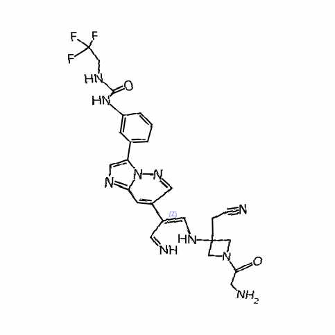 N#CCC1(N/C=C(\C=N)c2cnn3c(-c4cccc(NC(=O)NCC(F)(F)F)c4)cnc3c2)CN(C(=O)CN)C1